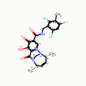 Cc1c(F)cc(F)c(CNC(=O)c2cn3c(c(O)c2=O)C(=O)N2CN3[C@H](C)C=C[C@@H]2C)c1F